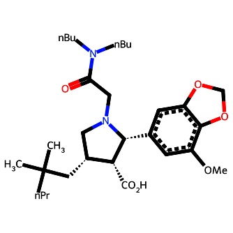 CCCCN(CCCC)C(=O)CN1C[C@@H](CC(C)(C)CCC)[C@@H](C(=O)O)[C@H]1c1cc(OC)c2c(c1)OCO2